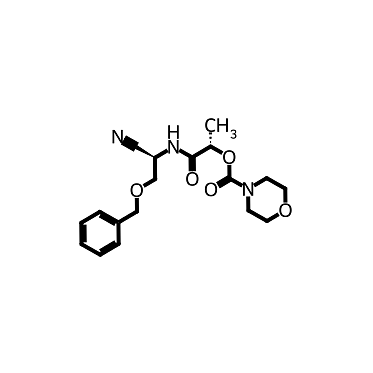 C[C@H](OC(=O)N1CCOCC1)C(=O)N[C@H](C#N)COCc1ccccc1